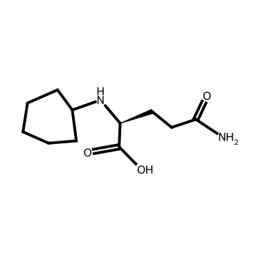 NC(=O)CC[C@H](NC1CCCCC1)C(=O)O